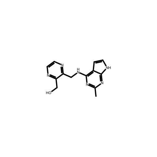 Cc1nc(NCc2nccnc2CO)c2cc[nH]c2n1